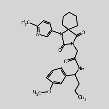 CCCC(NC(=O)CN1C(=O)N(c2ccc(C)nc2)C2(CCCCC2)C1=O)c1cccc(OC)c1